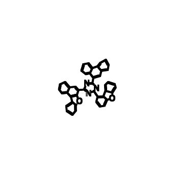 c1ccc2c(c1)cc(-c1nc(-c3cc4ccccc4c4c3oc3ccccc34)nc(-c3cccc4oc5ccccc5c34)n1)c1ccccc12